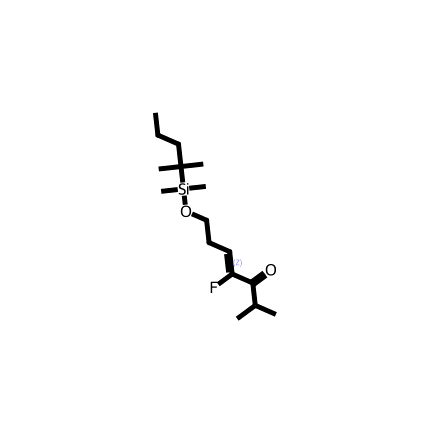 CCCC(C)(C)[Si](C)(C)OCC/C=C(\F)C(=O)C(C)C